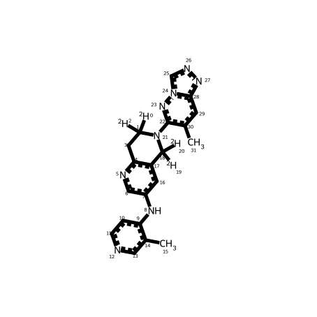 [2H]C1([2H])Cc2ncc(Nc3ccncc3C)cc2C([2H])([2H])N1c1nn2cnnc2cc1C